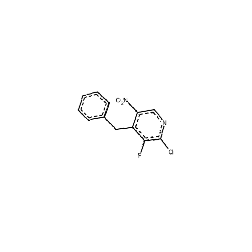 O=[N+]([O-])c1cnc(Cl)c(F)c1Cc1ccccc1